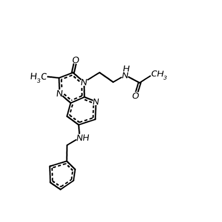 CC(=O)NCCn1c(=O)c(C)nc2cc(NCc3ccccc3)cnc21